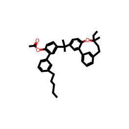 CCCCCc1cccc(-c2cc(C(C)(C)c3ccc4c(c3)-c3cccc(c3)CCC(C)(CC)O4)ccc2OC(C)=O)c1